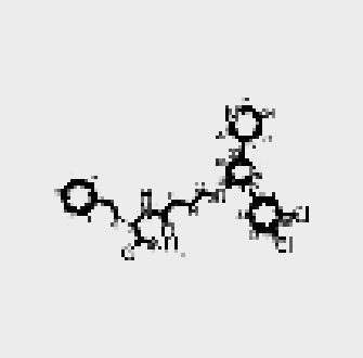 NC(=O)[C@H](CCc1ccccc1)NC(=O)CCCOc1cc(-c2cccnc2)nn1-c1ccc(Cl)c(Cl)c1